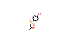 CC(=O)CS(=O)(=O)c1ccc(O)cc1